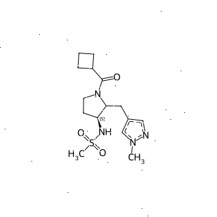 Cn1cc(CC2[C@@H](NS(C)(=O)=O)CCN2C(=O)C2CCC2)cn1